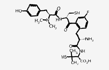 CN(C)[C@@H](Cc1ccc(O)cc1)C(=O)N[C@H](CS)C(=O)c1cc(F)ccc1C[C@H](N)C(=O)N[C@@H](C(=O)O)C(C)(C)S